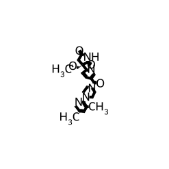 COC[C@]1(c2ccc(C(=O)N3CCN(c4ncc(C)cc4C)CC3)cn2)CC(=O)NC1=O